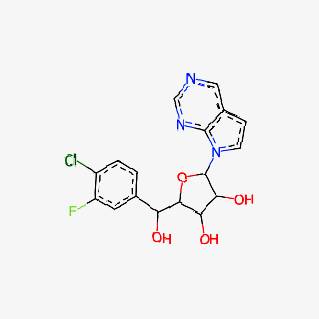 OC(c1ccc(Cl)c(F)c1)C1OC(n2ccc3cncnc32)C(O)C1O